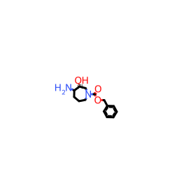 NC1CCCN(C(=O)OCc2ccccc2)C[C@H]1O